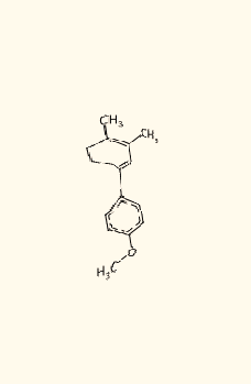 COc1ccc(C2=CC(C)=C(C)CC2)cc1